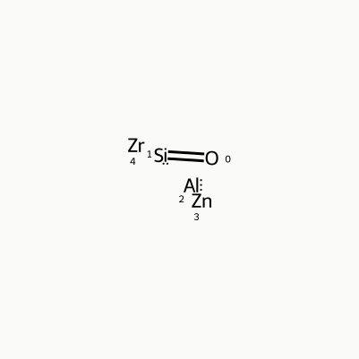 O=[Si].[Al].[Zn].[Zr]